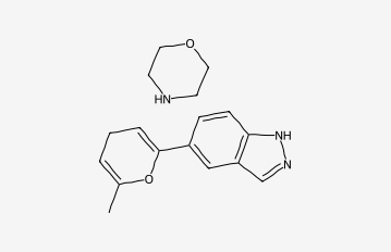 C1COCCN1.CC1=CCC=C(c2ccc3[nH]ncc3c2)O1